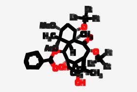 CC[Si](CC)(CC)O[C@H]1C(=O)[C@]2(C)[C@@H](O[Si](CC)(CC)CC)C[C@@H](OC)[C@](C)(OC(C)=O)[C@H]2[C@H](OC(=O)c2ccccc2)[C@]2(O)C[C@H](O)C(C)=C1C2(C)C